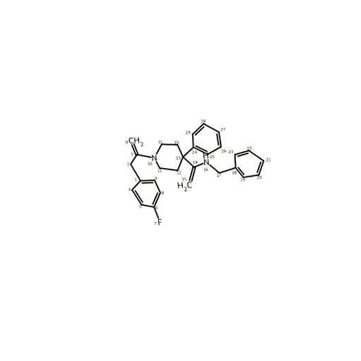 C=C(Cc1ccc(F)cc1)N1CCC(C(=C)NCc2ccccc2)(c2ccccc2)CC1